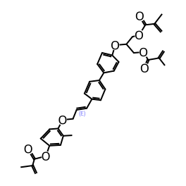 C=C(C)C(=O)OCC(COC(=O)C(=C)C)Oc1ccc(-c2ccc(/C=C/COc3ccc(OC(=O)C(=C)C)cc3C)cc2)cc1